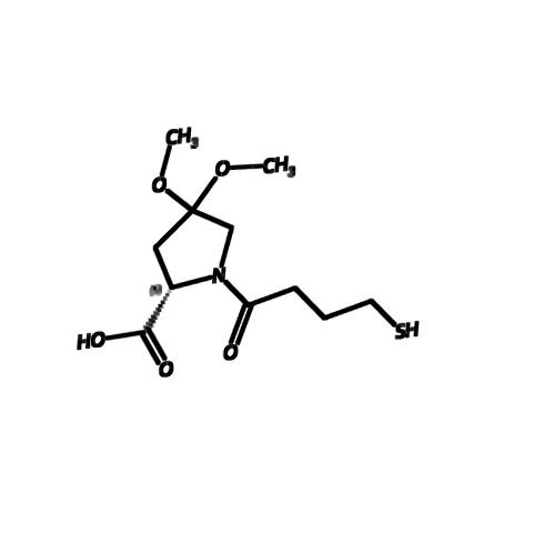 COC1(OC)C[C@@H](C(=O)O)N(C(=O)CCCS)C1